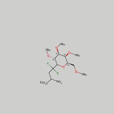 CCCCOC[C@H]1OC(C(F)(F)CC(C(=O)OCC)[N+](=O)[O-])[C@H](OCCCC)[C@@H](OCCCC)[C@H]1OCCCC